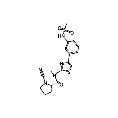 CN(C(=O)[C@@H]1CCCN1C#N)c1nc(-c2cccc(NS(C)(=O)=O)c2)cs1